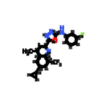 Cc1cc(-c2nnc(Nc3cccc(F)c3)o2)nc2c(C(F)(F)F)cc(C3CC3)cc12